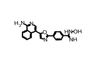 N=C(NO)c1ccc(-c2ncc(-c3cnc(N)c4ccccc34)o2)cc1